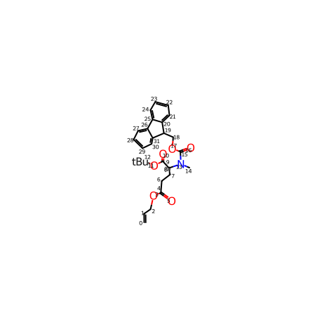 C=CCOC(=O)CC[C@@H](C(=O)OC(C)(C)C)N(C)C(=O)OCC1c2ccccc2-c2ccccc21